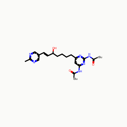 Cc1ncc(C=CC(O)CCCCc2cc(NC(=O)C(C)(C)C)nc(NC(=O)C(C)(C)C)n2)cn1